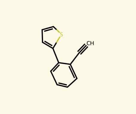 C#Cc1ccccc1-c1cccs1